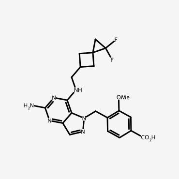 COc1cc(C(=O)O)ccc1Cn1ncc2nc(N)nc(NCC3CC4(C3)CC4(F)F)c21